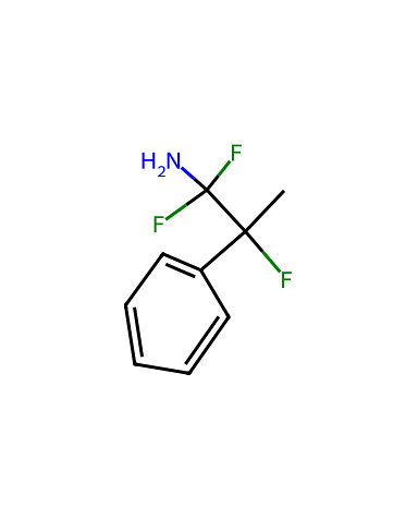 CC(F)(c1ccccc1)C(N)(F)F